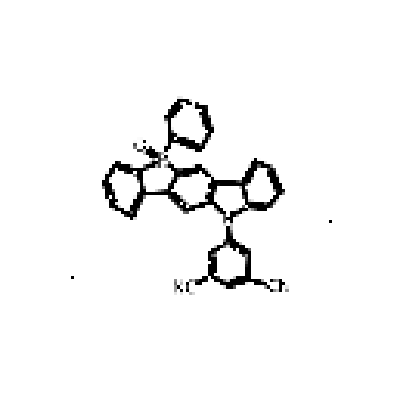 N#Cc1cc(C#N)cc(-n2c3ccccc3c3cc4c(cc32)-c2ccccc2P4(=O)c2ccccc2)c1